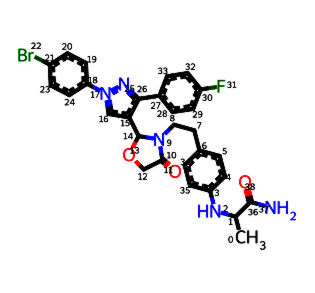 CC(Nc1ccc(CCN2C(=O)COC2c2cn(-c3ccc(Br)cc3)nc2-c2ccc(F)cc2)cc1)C(N)=O